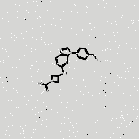 COc1ccc(-n2nnc3cnc(NC4CN(C(=O)O)C4)nc32)cc1